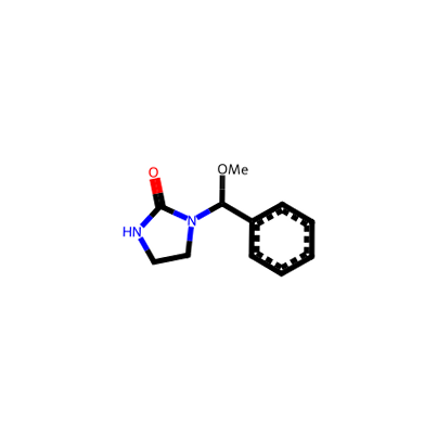 COC(c1ccccc1)N1CCNC1=O